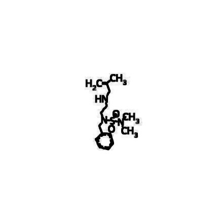 C=C(C)CNCCN(Cc1ccccc1)S(=O)(=O)N(C)C